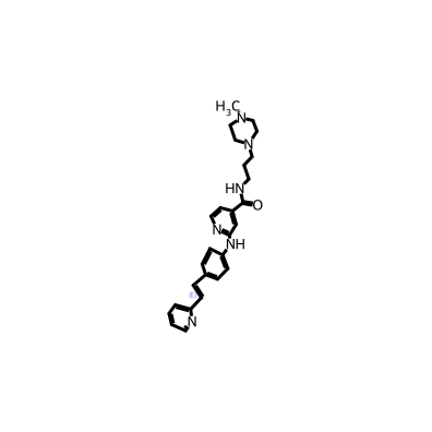 CN1CCN(CCCNC(=O)c2ccnc(Nc3ccc(/C=C/c4ccccn4)cc3)c2)CC1